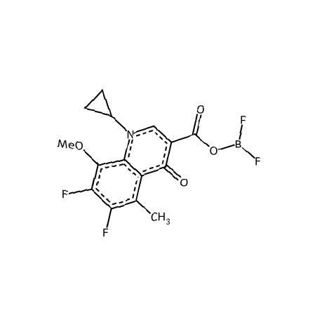 COc1c(F)c(F)c(C)c2c(=O)c(C(=O)OB(F)F)cn(C3CC3)c12